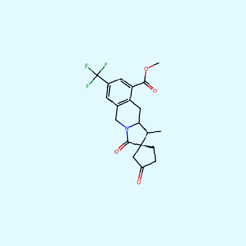 COC(=O)c1cc(C(F)(F)F)cc2c1CC1C(C)[C@@]3(CCC(=O)C3)C(=O)N1C2